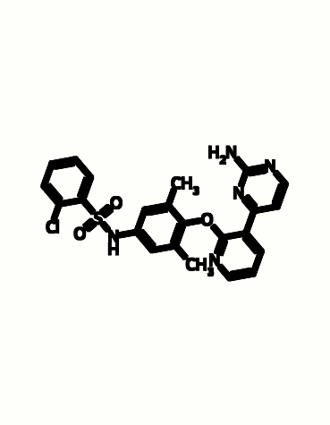 Cc1cc(NS(=O)(=O)c2ccccc2Cl)cc(C)c1Oc1ncccc1-c1ccnc(N)n1